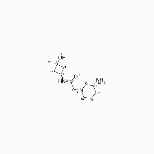 C[C@]1(O)C[C@@H](NC(=O)CN2CCC[C@@H](N)C2)C1